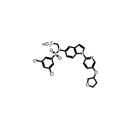 O=C(O)CN(c1ccc2c(ccn2-c2ccc(OC3CCOC3)cn2)c1)S(=O)(=O)c1cc(Cl)cc(Cl)c1